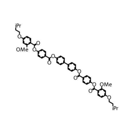 COc1cc(OCCC(C)C)ccc1C(=O)Oc1ccc(C(=O)Oc2ccc(-c3ccc(OC(=O)c4ccc(OC(=O)c5ccc(OCCC(C)C)cc5OC)cc4)cc3)cc2)cc1